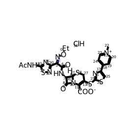 CCO/N=C(\C(=O)N[C@@H]1C(=O)N2C(C(=O)[O-])=C(Sc3nc(-c4cc[n+](C)cc4)cs3)CS[C@H]12)c1nsc(NC(C)=O)n1.Cl